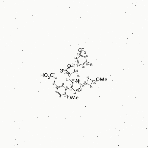 COc1ccc(CCC(=O)O)cc1-c1cnc(N2CC(OC)C2)nc1CN1C(=O)O[C@H](c2cc(C)cc(C(F)(F)F)c2)[C@@H]1C